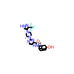 C[C@@H]1CN(c2c[nH]nc2C(F)(F)F)CCN1c1nccc(C(=O)N[C@H]2C3CC4CC2C[C@](O)(C4)C3)n1